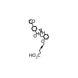 [2H]C1(N(Cc2ccccc2OCC#CCCC(=O)O)C(=O)c2ccc(-c3ccco3)cc2)CC1